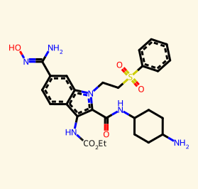 CCOC(=O)Nc1c(C(=O)NC2CCC(N)CC2)n(CCS(=O)(=O)c2ccccc2)c2cc(/C(N)=N/O)ccc12